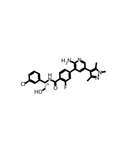 Cc1nn(C)c(C)c1-c1cnc(N)c(-c2ccc(C(=O)N[C@H](CO)c3cccc(Cl)c3)c(F)c2)c1